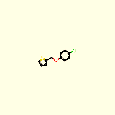 Clc1c[c]c(OCc2cccs2)cc1